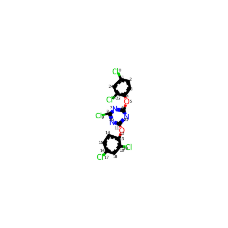 Clc1ccc(Oc2nc(Cl)nc(Oc3ccc(Cl)cc3Cl)n2)c(Cl)c1